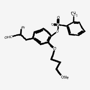 COCCCOc1cc(CC(C=O)C(C)C)ccc1OS(=O)(=O)c1ccccc1C